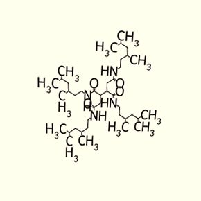 CC(C)CC(C)CCNC(=O)CC(C(=O)NCCC(C)CC(C)C)C(CC(=O)NCCC(C)CC(C)C)C(=O)NCCC(C)CC(C)C